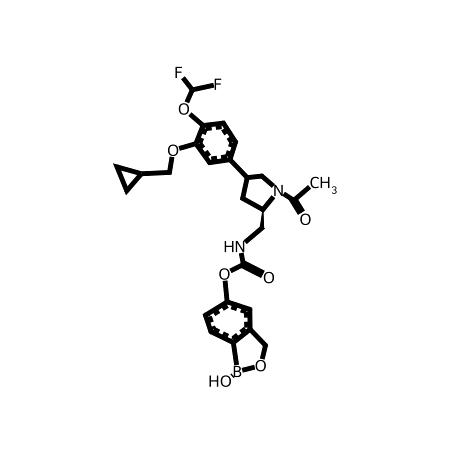 CC(=O)N1CC(c2ccc(OC(F)F)c(OCC3CC3)c2)C[C@@H]1CNC(=O)Oc1ccc2c(c1)COB2O